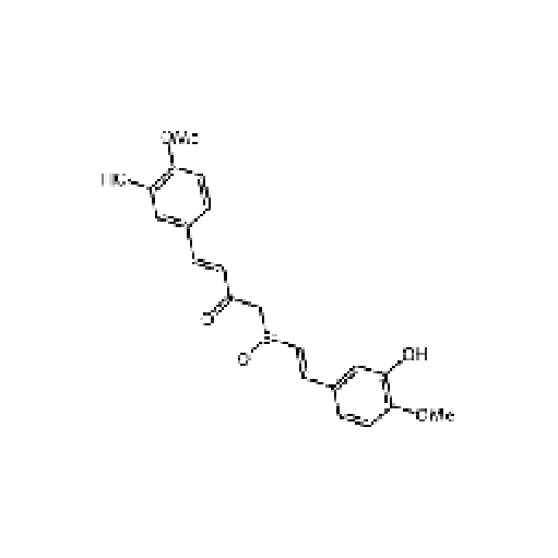 COc1ccc(C=C[S+]([O-])CC(=O)/C=C/c2ccc(OC)c(O)c2)cc1O